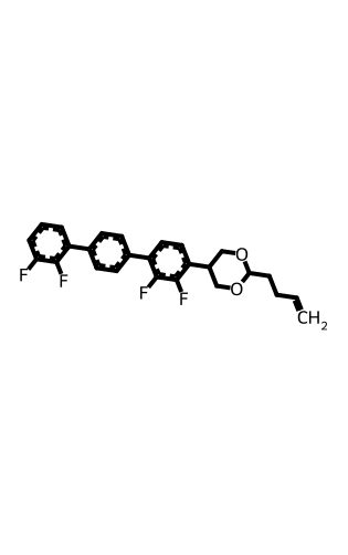 C=CCCC1OCC(c2ccc(-c3ccc(-c4cccc(F)c4F)cc3)c(F)c2F)CO1